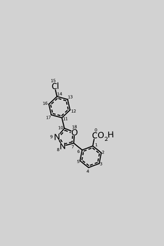 O=C(O)c1ccccc1-c1nnc(-c2ccc(Cl)cc2)o1